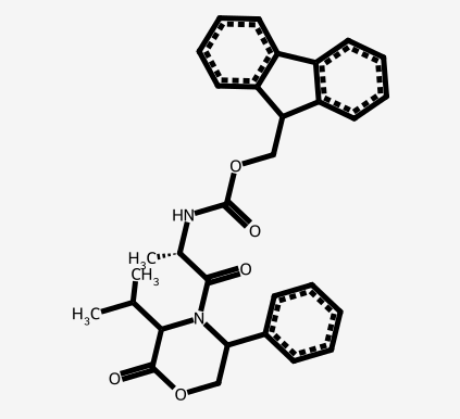 CC(C)C1C(=O)OCC(c2ccccc2)N1C(=O)[C@H](C)NC(=O)OCC1c2ccccc2-c2ccccc21